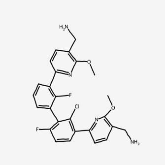 COc1nc(-c2cccc(-c3c(F)ccc(-c4ccc(CN)c(OC)n4)c3Cl)c2F)ccc1CN